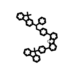 CC1(C)c2ccccc2-c2ccc(C(Cc3ccc(-c4cccc5c4oc4c(-c6ccc(C7(C)c8ccccc8-c8ccccc87)cc6)cccc45)cc3)c3ccccc3)cc21